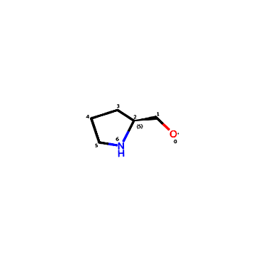 [O]C[C@@H]1CCCN1